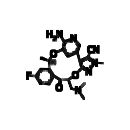 C[C@H]1Oc2cc(cnc2N)-c2c(nn(C)c2C#N)OC(CN(C)C)C(=O)c2ccc(F)cc21